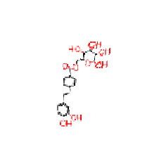 O=C(OCC1OC(O)C(O)C(O)C1O)c1ccc(C=Cc2ccc(O)c(O)c2)cc1